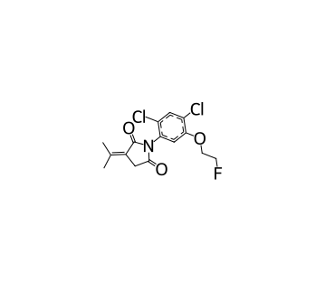 CC(C)=C1CC(=O)N(c2cc(OCCF)c(Cl)cc2Cl)C1=O